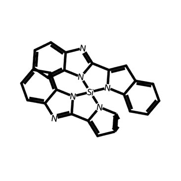 c1ccc2c(c1)cc1n2[Si]2(n3c(cc4ccccc43)-c3nc4ccccc4n32)n2c-1nc1ccccc12